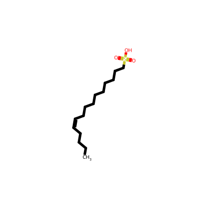 CCCC/C=C\CCCCCCCCCS(=O)(=O)O